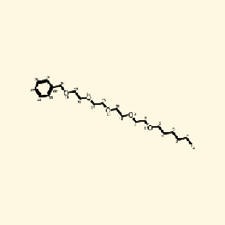 ICCCCCOCCOCCOCCOCCOCc1ccccc1